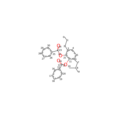 CCCc1ccc(CC(C)C)c(OC(=O)c2ccccc2)c1OC(=O)c1ccccc1